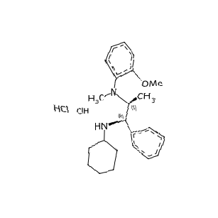 COc1ccccc1N(C)[C@@H](C)[C@H](NC1CCCCC1)c1ccccc1.Cl.Cl